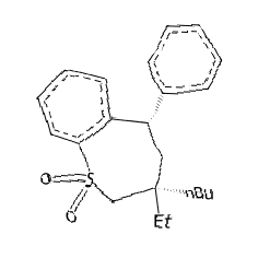 CCCC[C@@]1(CC)C[C@@H](c2ccccc2)c2ccccc2S(=O)(=O)C1